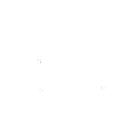 O=C1C=CC(=O)C(c2ccccn2)=C1